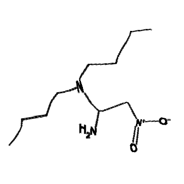 CCCCN(CCCC)C(N)C[N+](=O)[O-]